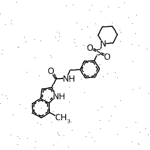 Cc1cccc2cc(C(=O)NCc3cccc(S(=O)(=O)N4CCCCC4)c3)[nH]c12